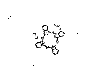 ClCl.[InH3].c1ccc2c(c1)-c1nc-2nc2[nH]c(nc3nc(nc4[nH]c(n1)c1ccccc41)-c1ccccc1-3)c1ccccc21